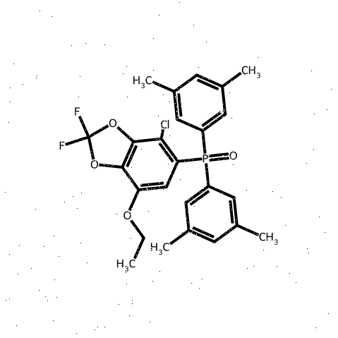 CCOc1cc(P(=O)(c2cc(C)cc(C)c2)c2cc(C)cc(C)c2)c(Cl)c2c1OC(F)(F)O2